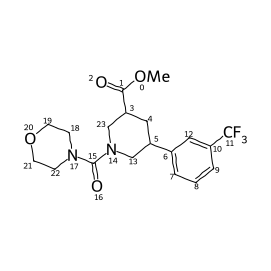 COC(=O)C1CC(c2cccc(C(F)(F)F)c2)CN(C(=O)N2CCOCC2)C1